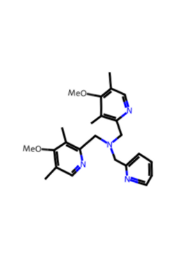 COc1c(C)cnc(CN(Cc2ccccn2)Cc2ncc(C)c(OC)c2C)c1C